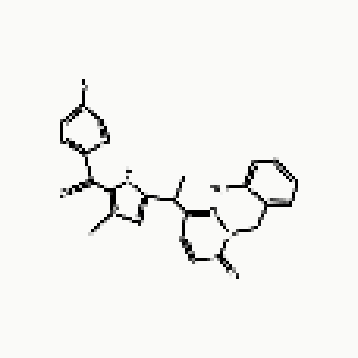 Cc1cc(C(C)c2ccc(=O)n(Cc3ccccc3C#N)n2)[nH]c1C(=O)c1ccc(Cl)cc1